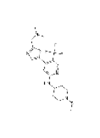 CSN1CCC(Nc2ncc(C(F)(F)F)c(-c3cnc(CN(C)C)s3)n2)CC1